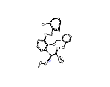 CO/N=C(/C(=O)O)c1cccc(OCc2ccccc2Cl)c1OCc1ccccc1Cl